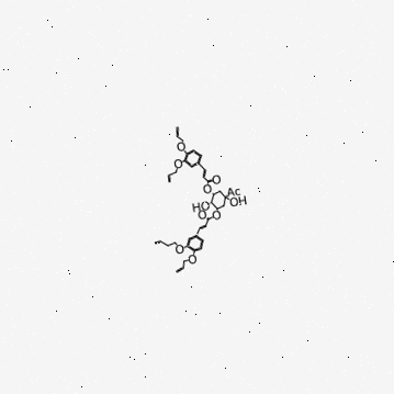 C=CCCOc1cc(/C=C/C(=O)O[C@@H]2C[C@](O)(C(C)=O)C[C@@H](OC(=O)/C=C/c3ccc(OCC=C)c(OCC=C)c3)[C@H]2O)ccc1OCC=C